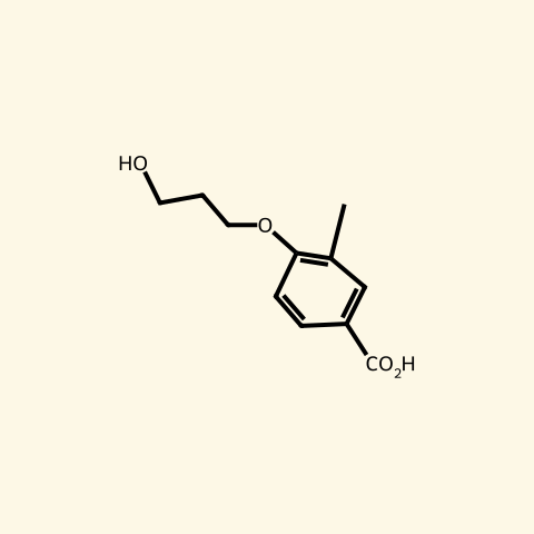 Cc1cc(C(=O)O)ccc1OCCCO